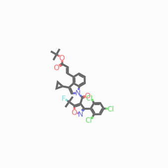 CC(C)(C)OC(=O)/C=C/c1cccc2c1c(C1CC1)cn2C(=O)c1c(-c2c(Cl)cc(Cl)cc2Cl)noc1C(C)(C)F